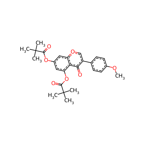 COc1ccc(-c2coc3cc(OC(=O)C(C)(C)C)cc(OC(=O)C(C)(C)C)c3c2=O)cc1